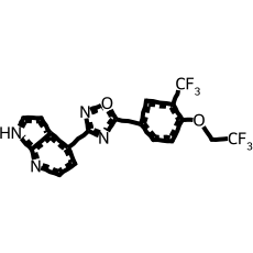 FC(F)(F)COc1ccc(-c2nc(-c3ccnc4[nH]ccc34)no2)cc1C(F)(F)F